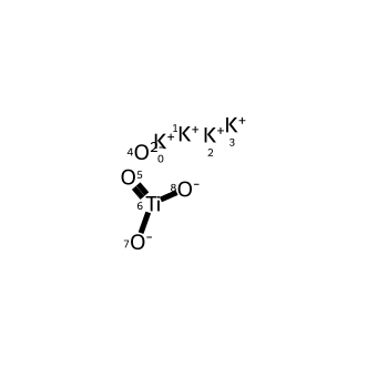 [K+].[K+].[K+].[K+].[O-2].[O]=[Ti]([O-])[O-]